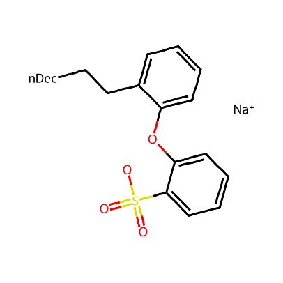 CCCCCCCCCCCCc1ccccc1Oc1ccccc1S(=O)(=O)[O-].[Na+]